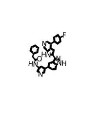 O=C(Cc1ccccc1)Nc1cncc(-c2ccc3[nH]nc(-c4cc5c(-c6ccc(F)cc6)cncc5[nH]4)c3c2)c1